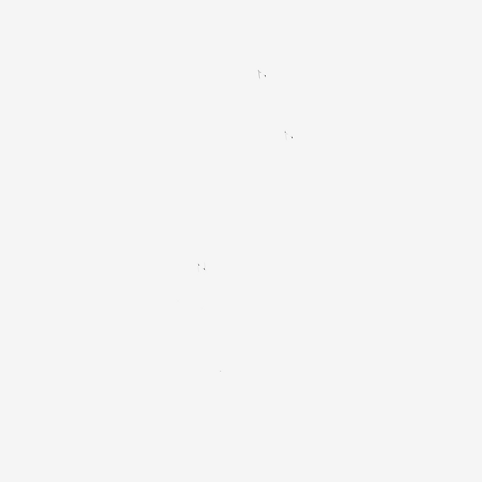 CC1CC2=C(SC3(C)C=CCCC23)C2=C1N(C1=CC(c3cccc(C4CCCC(C#N)=N4)c3)=CCC1)C1C=CC=CC21C